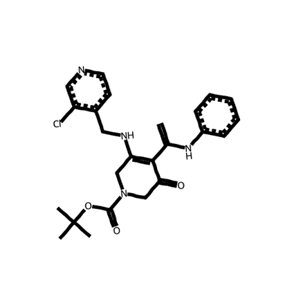 C=C(Nc1ccccc1)C1=C(NCc2ccncc2Cl)CN(C(=O)OC(C)(C)C)CC1=O